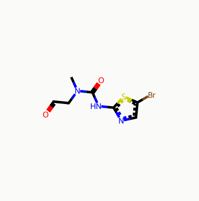 CN(CC=O)C(=O)Nc1ncc(Br)s1